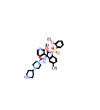 CCOc1ccccc1S(=O)(=O)N1C(=O)C(NC(=O)N2CCN(C3CCNCC3)CC2)(c2cccnc2OCC)c2cc(C#N)ccc21